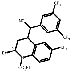 CCOC(=O)N1c2ccc(C(F)(F)F)cc2C(C(C#N)c2cc(C(F)(F)F)cc(C(F)(F)F)c2)C[C@@H]1CC